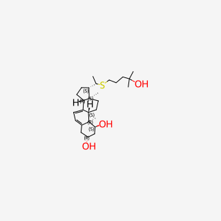 CC(SCCCC(C)(C)O)[C@H]1CC[C@H]2C3=CC=C4C[C@@H](O)C[C@H](O)[C@]4(C)[C@H]3CC[C@]12C